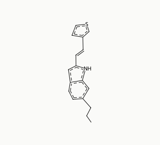 CCCc1ccc2cc(C=Cc3ccsc3)[nH]c2c1